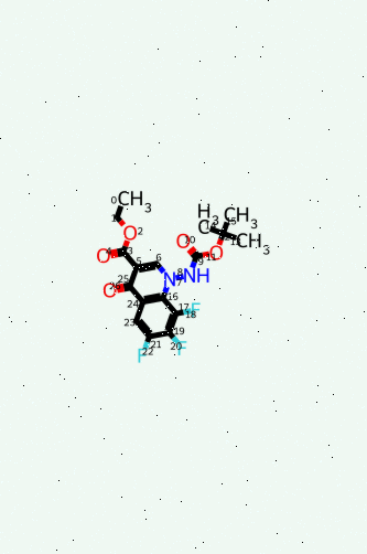 CCOC(=O)c1cn(NC(=O)OC(C)(C)C)c2c(F)c(F)c(F)cc2c1=O